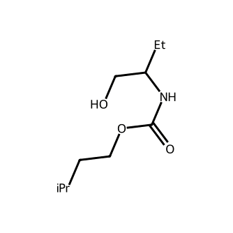 CCC(CO)NC(=O)OCCC(C)C